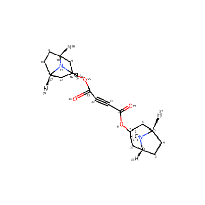 CN1[C@@H]2CC[C@H]1CC(OC(=O)C#CC(=O)OC1C[C@H]3CC[C@@H](C1)N3C)C2